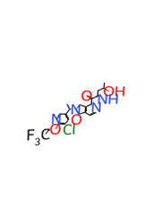 CC(O)CC(=N)C(=O)c1nccc2c1CN(C(C)c1cnc(OCC(F)(F)F)c(Cl)c1)C2=O